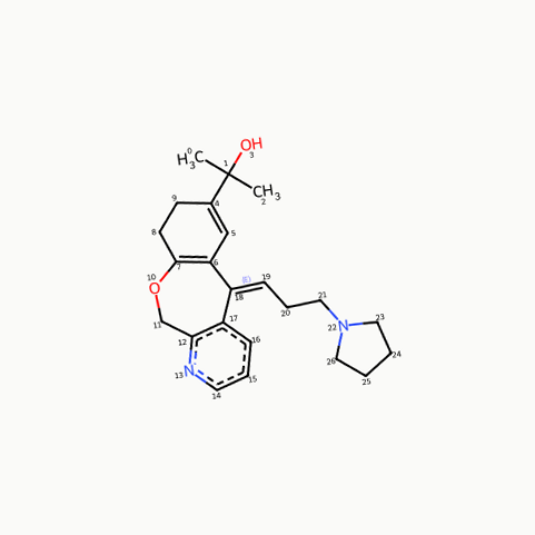 CC(C)(O)C1=CC2=C(CC1)OCc1ncccc1/C2=C\CCN1CCCC1